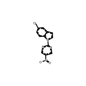 O=[N+]([O-])c1cnc(-n2ccc3cc(Cl)ccc32)nc1